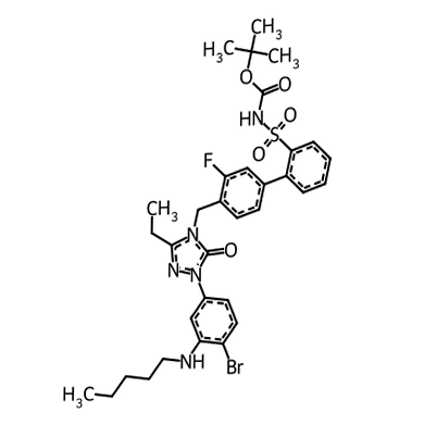 CCCCCNc1cc(-n2nc(CC)n(Cc3ccc(-c4ccccc4S(=O)(=O)NC(=O)OC(C)(C)C)cc3F)c2=O)ccc1Br